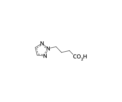 O=C(O)CCCn1nccn1